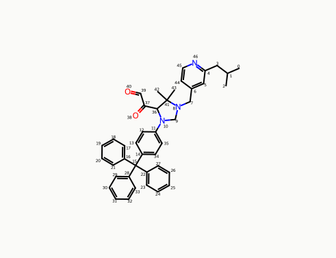 CC(C)Cc1cc(CN2CN(c3ccc(C(c4ccccc4)(c4ccccc4)c4ccccc4)cc3)C(C(=O)C=O)C2(C)C)ccn1